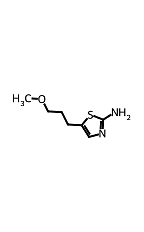 COCCCc1cnc(N)s1